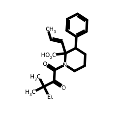 CC=CC1(C(=O)O)C(c2ccccc2)CCCN1C(=O)C(=O)C(C)(C)CC